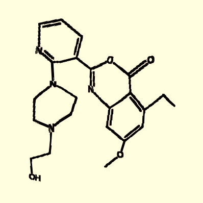 CCc1cc(OC)cc2nc(-c3cccnc3N3CCN(CCO)CC3)oc(=O)c12